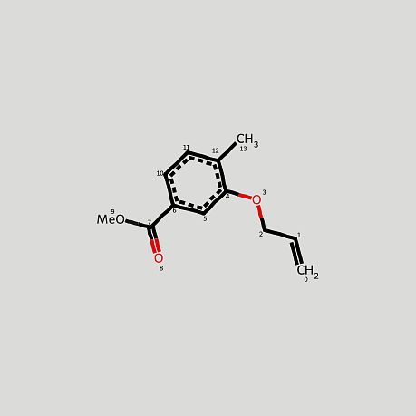 C=CCOc1cc(C(=O)OC)ccc1C